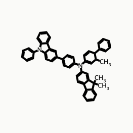 CC1C=C(N(c2ccc(-c3ccc4c(c3)c3ccccc3n4-c3ccccc3)cc2)c2ccc3c(c2)C(C)(C)c2ccccc2-3)C=CC1c1ccccc1